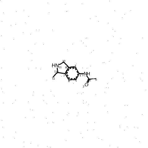 CC(=O)Nc1ccc2c(c1)CNC2C